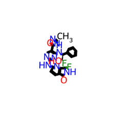 Cc1noc(-c2cnc(Nc3ccc4c(n3)C(F)(F)NC4=O)nc2N[C@H](CO)c2ccccc2)n1